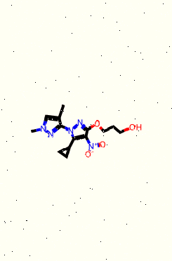 Cc1cn(C)nc1-n1nc(OCCCO)c([N+](=O)[O-])c1C1CC1